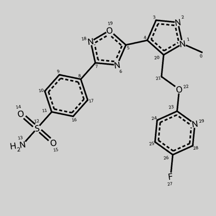 Cn1ncc(-c2nc(-c3ccc(S(N)(=O)=O)cc3)no2)c1COc1ccc(F)cn1